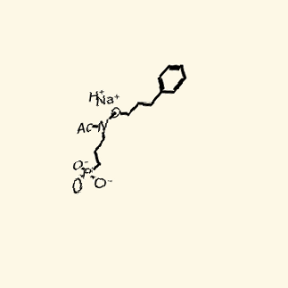 CC(=O)N(CCCP(=O)([O-])[O-])OCCCc1ccccc1.[H+].[Na+]